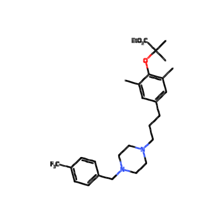 CCOC(=O)C(C)(C)Oc1c(C)cc(CCCN2CCN(Cc3ccc(C(F)(F)F)cc3)CC2)cc1C